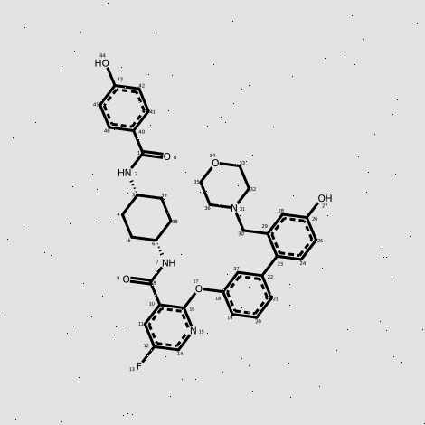 O=C(N[C@H]1CC[C@@H](NC(=O)c2cc(F)cnc2Oc2cccc(-c3ccc(O)cc3CN3CCOCC3)c2)CC1)c1ccc(O)cc1